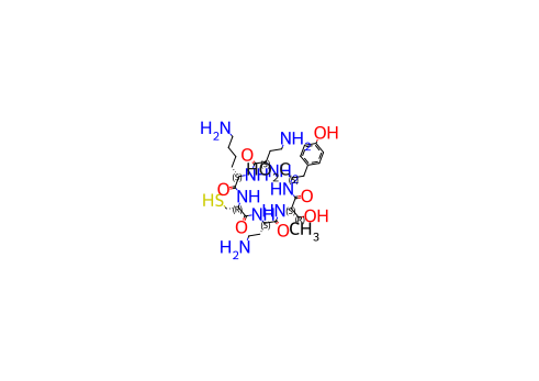 C[C@@H](O)[C@H](NC(=O)[C@H](CCN)NC(=O)[C@H](CS)NC(=O)[C@H](CCCCN)NC(=O)[C@@H](N)CCN)C(=O)N[C@@H](Cc1ccc(O)cc1)C(=O)O